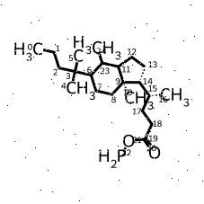 CCCC(C)(C)C1CC[C@@]2(C)C(CC[C@@H]2[C@H](C)CCC(=O)OP)C1C